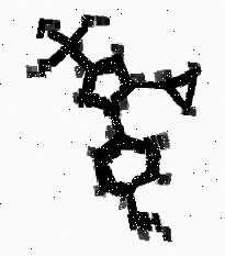 Nc1ccc(-n2nc(C(F)(F)F)cc2C2CC2)nc1